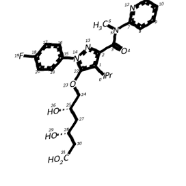 CC(C)c1c(C(=O)N(C)c2ccccn2)nn(-c2ccc(F)cc2)c1OC[C@@H](O)C[C@@H](O)CC(=O)O